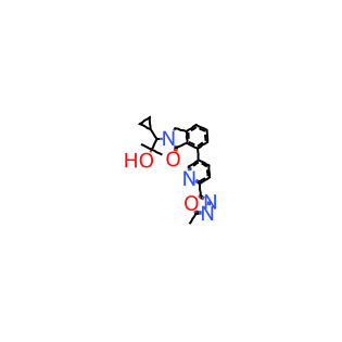 Cc1nnc(-c2ccc(-c3cccc4c3C(=O)N(C(C3CC3)C(C)(C)O)C4)cn2)o1